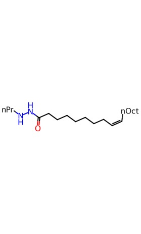 CCCCCCCC/C=C\CCCCCCCC(=O)NNCCC